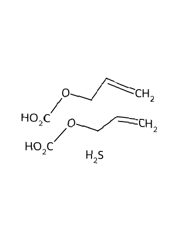 C=CCOC(=O)O.C=CCOC(=O)O.S